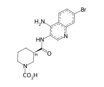 Nc1c(NC(=O)[C@@H]2CCCN(C(=O)O)C2)cnc2cc(Br)ccc12